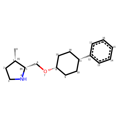 C[C@H]1CCN[C@H]1CO[C@H]1CC[C@@H](c2ccccc2)CC1